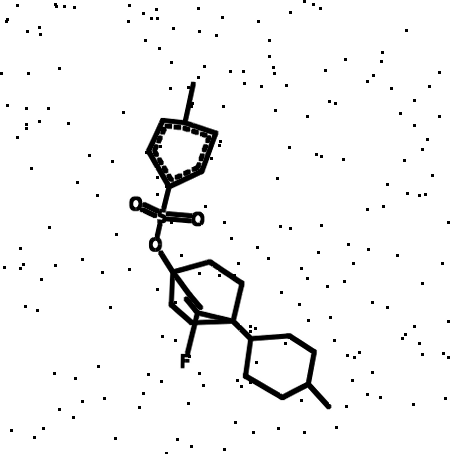 Cc1ccc(S(=O)(=O)OC23C=C(F)C(C4CCC(C)CC4)(CC2)CC3)cc1